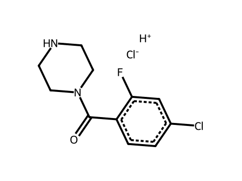 O=C(c1ccc(Cl)cc1F)N1CCNCC1.[Cl-].[H+]